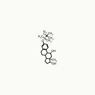 CC(C)(C)[Si](C)(C)Oc1ccc2c(c1)CCC1C2[C@@H](O)C[C@@]2(C)C1CC[C@@H]2O